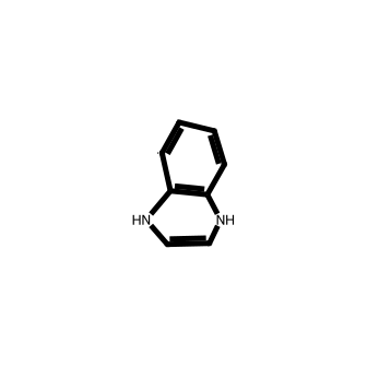 [c]1cccc2c1NC=CN2